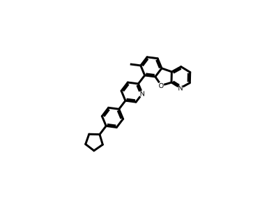 Cc1ccc2c(oc3ncccc32)c1-c1ccc(-c2ccc(C3CCCC3)cc2)cn1